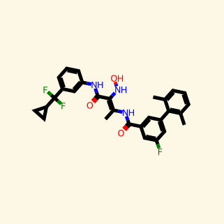 C/C(NC(=O)c1cc(F)cc(-c2c(C)cccc2C)c1)=C(/NO)C(=O)Nc1cccc(C(F)(F)C2CC2)c1